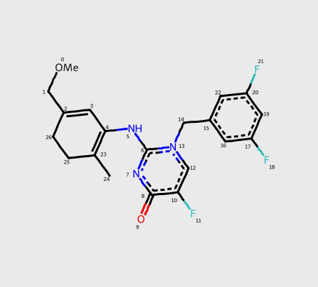 COCC1=CC(Nc2nc(=O)c(F)cn2Cc2cc(F)cc(F)c2)=C(C)CC1